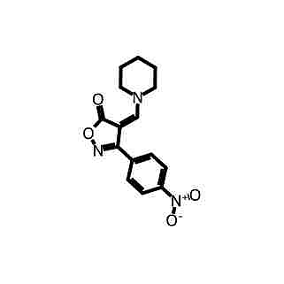 O=C1ON=C(c2ccc([N+](=O)[O-])cc2)/C1=C/N1CCCCC1